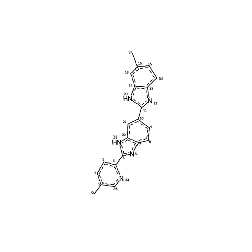 Cc1ccc(-c2nc3ccc(-c4nc5ccc(C)cc5[nH]4)cc3[nH]2)nc1